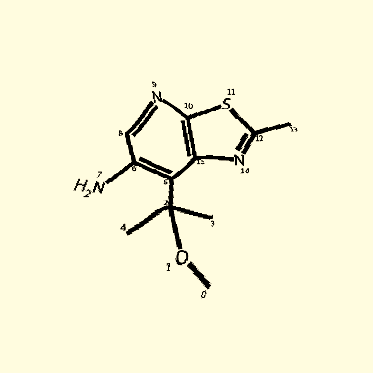 COC(C)(C)c1c(N)cnc2sc(C)nc12